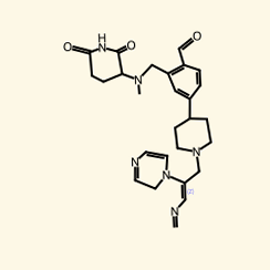 C=N/C=C(/CN1CCC(c2ccc(C=O)c(CN(C)C3CCC(=O)NC3=O)c2)CC1)N1C=CN=CC1